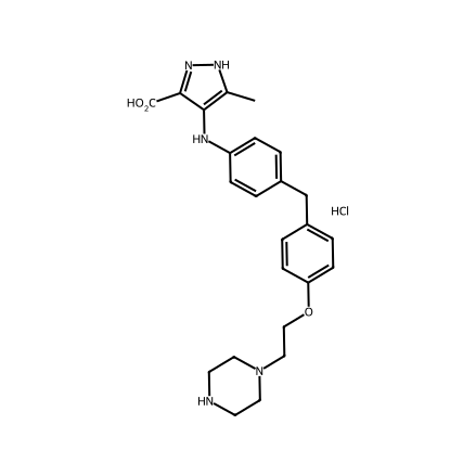 Cc1[nH]nc(C(=O)O)c1Nc1ccc(Cc2ccc(OCCN3CCNCC3)cc2)cc1.Cl